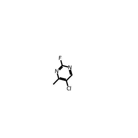 Cc1nc(F)ncc1Cl